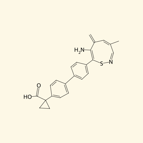 C=C1/C=C(C)\C=N/S/C(c2ccc(-c3ccc(C4(C(=O)O)CC4)cc3)cc2)=C\1N